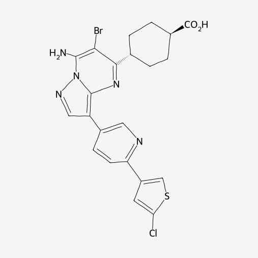 Nc1c(Br)c([C@H]2CC[C@H](C(=O)O)CC2)nc2c(-c3ccc(-c4csc(Cl)c4)nc3)cnn12